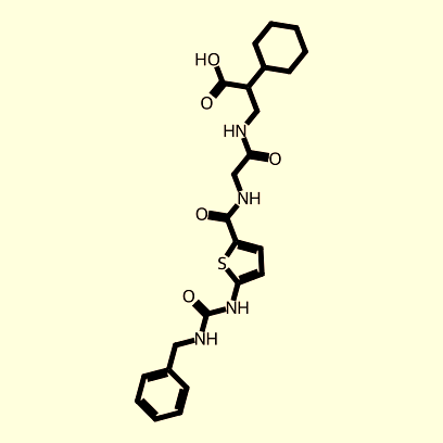 O=C(CNC(=O)c1ccc(NC(=O)NCc2ccccc2)s1)NCC(C(=O)O)C1CCCCC1